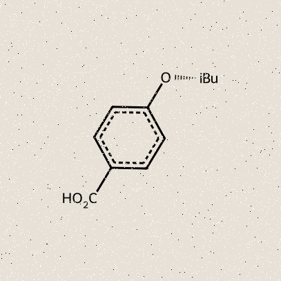 CC[C@@H](C)Oc1ccc(C(=O)O)cc1